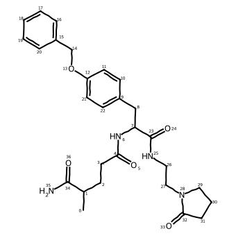 CC(C[CH]C(=O)NC(Cc1ccc(OCc2ccccc2)cc1)C(=O)NCCN1CCCC1=O)C(N)=O